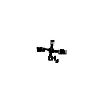 CC(C)(C)[Si](C)(F)C(C)(C)C